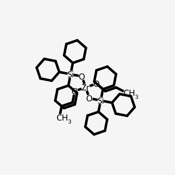 CCC[O][Zr]([O]CCC)([O][Si](C1CCCCC1)(C1CCCCC1)C1CCCCC1)[O][Si](C1CCCCC1)(C1CCCCC1)C1CCCCC1